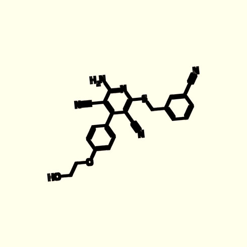 N#Cc1cccc(CSc2nc(N)c(C#N)c(-c3ccc(OCCO)cc3)c2C#N)c1